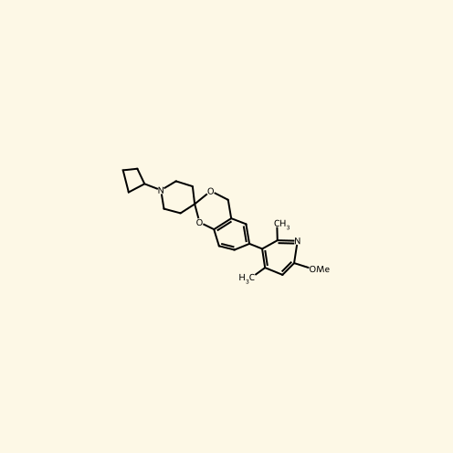 COc1cc(C)c(-c2ccc3c(c2)COC2(CCN(C4CCC4)CC2)O3)c(C)n1